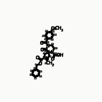 C=CCC1(CNC(=O)OCc2ccccc2)C(=O)N(C(=O)c2ccc(OC)cc2)CCN1C(=O)O